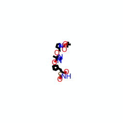 Cc1c(OCC2CCCN2C(=O)OC(C)(C)C)ncnc1Oc1cccc(/C=C2\SC(=O)NC2=O)c1